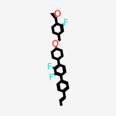 C/C=C/c1ccc(-c2ccc(C3CCC(OCC4C=C(F)C(C5CO5)CC4)CC3)c(F)c2F)cc1